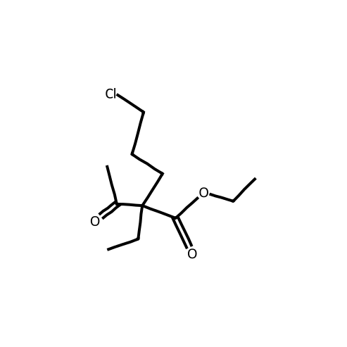 CCOC(=O)C(CC)(CCCCl)C(C)=O